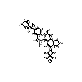 Cc1nc(N[C@H](C)c2cccc(C(F)(F)C3CCCO3)c2)c2cc(N3CC4(COC4)C3)c3c(c2n1)CCC3